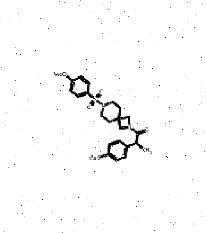 COc1ccc(C(C)C(=O)N2CC3(CCN(S(=O)(=O)c4ccc(OC)cc4)CC3)C2)cc1